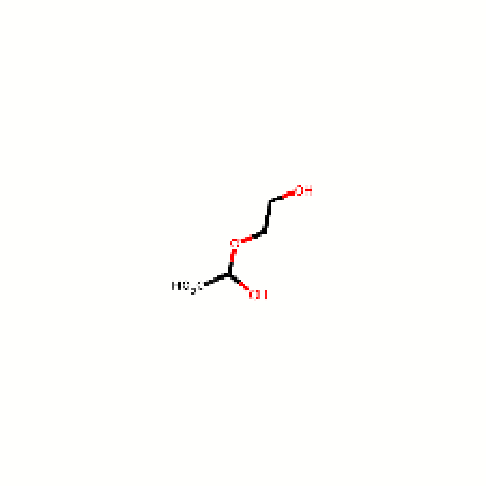 O=C(O)C(O)OCCO